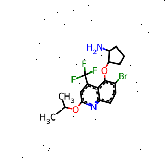 CC(C)Oc1cc(C(F)(F)F)c2c(OC3CCCC3N)c(Br)ccc2n1